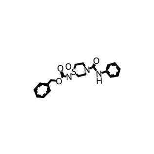 O=C(N=S1(=O)CCN(C(=O)Nc2ccccc2)CC1)OCc1ccccc1